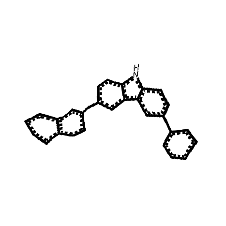 c1ccc(-c2ccc3[nH]c4ccc(-c5ccc6ccccc6c5)cc4c3c2)cc1